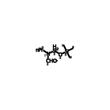 CCCN([C]=O)[SiH2]O[Si](C)(C)C